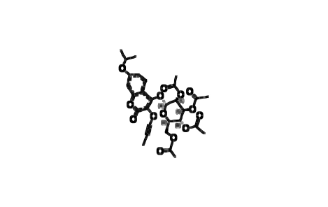 CC#COc1c(O[C@H]2O[C@H](COC(C)=O)[C@@H](OC(C)=O)[C@H](OC(C)=O)[C@@H]2OC(C)=O)c2ccc(OC(C)C)cc2oc1=O